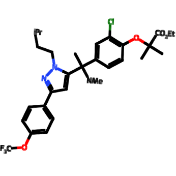 CCOC(=O)C(C)(C)Oc1ccc(C(C)(NC)c2cc(-c3ccc(OC(F)(F)F)cc3)nn2CCC(C)C)cc1Cl